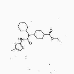 CCOC(=O)C1CCC(N(C(=O)Nc2ncc(C)s2)C2CCCCC2)CC1